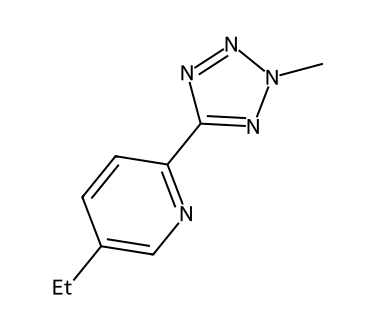 CCc1ccc(-c2nnn(C)n2)nc1